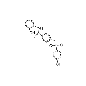 O=C(Nc1ccccc1O)c1ccc(CS(=O)(=O)c2ccc(O)cc2)cc1